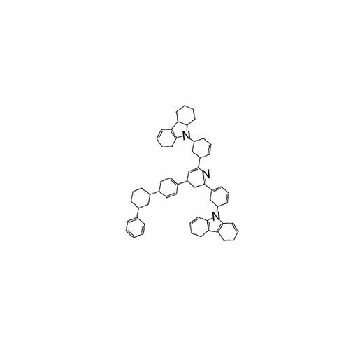 C1=CC(n2c3c(c4c2C=CCC4)CCC=C3)CC(C2=NC(C3C=CCC(N4C5=C(C=CCC5)C5CCCCC54)C3)=CC(C3=CCC(C4CCCC(c5ccccc5)C4)C=C3)C2)=C1